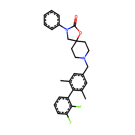 Cc1cc(CN2CCC3(CC2)CN(c2ccccc2)C(=O)O3)cc(C)c1-c1cccc(F)c1F